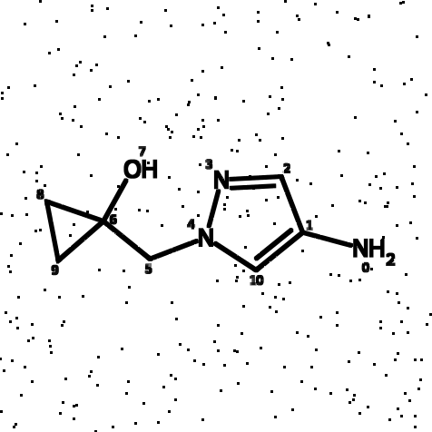 Nc1cnn(CC2(O)CC2)c1